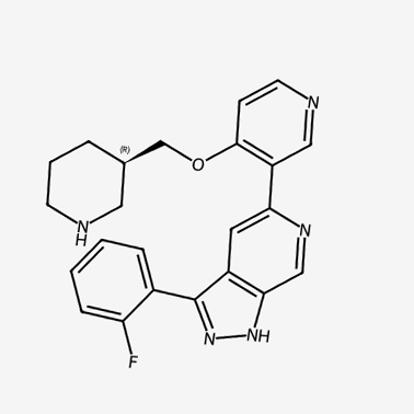 Fc1ccccc1-c1n[nH]c2cnc(-c3cnccc3OC[C@@H]3CCCNC3)cc12